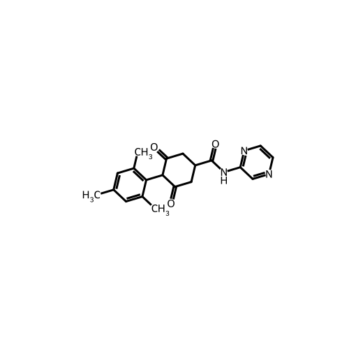 Cc1cc(C)c(C2C(=O)CC(C(=O)Nc3cnccn3)CC2=O)c(C)c1